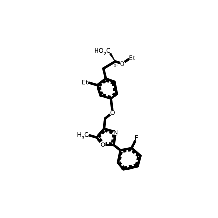 CCO[C@@H](Cc1ccc(OCc2nc(-c3ccccc3F)oc2C)cc1CC)C(=O)O